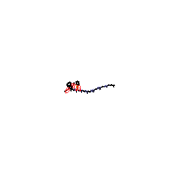 CCOc1c(C)c(C/C=C(\C)C(C/C=C(\C)CC/C=C(\C)CC/C=C(\C)CC/C=C(\C)CC/C=C(\C)CCC=C(C)C)S(=O)(=O)c2ccccc2)c(OCC)c2ccccc12